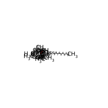 CCCCCCCCCCCCCC(=O)O[C@@H]1[C@@H](C)[C@@]2(O)[C@@H]([C@@H]3O[C@@]34COC(C)(C)O[C@H]4[C@]3(O)C(=O)C(C)=C[C@H]32)[C@H]2C(C)(C)[C@]12OC(C)=O